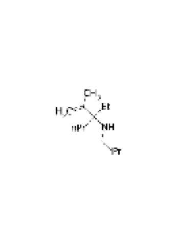 C=C(C)C(CC)(CCC)NCC(C)C